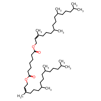 CC(=CCOC(=O)CCCCCC(=O)OCC=C(C)CCCC(C)CCCC(C)CCCC(C)C)CCCC(C)CCCC(C)CCCC(C)C